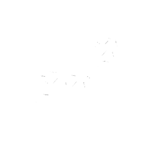 Nc1nccc2ccc(C3CCN(C(=O)c4ccc(-c5ccc(=O)n(OC(=O)C(F)(F)F)c5)cc4F)CC3)cc12